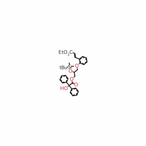 CCOC(=O)/C=C/c1ccccc1OCC(COC(=O)C(O)(c1ccccc1)c1ccccc1)O[Si](C)(C)C(C)(C)C